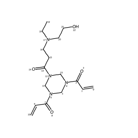 C=CC(=O)N1CN(C(=O)C=C)CN(C(=O)CCN(CC)CCO)C1